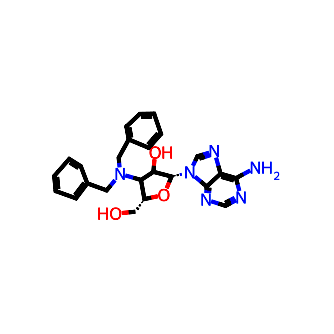 Nc1ncnc2c1ncn2[C@@H]1O[C@H](CO)C(N(Cc2ccccc2)Cc2ccccc2)C1O